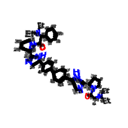 CCN(CC)[C@H](C)C(=O)N1CCC[C@H]1c1ncc(-c2ccc(-c3ccc(-c4cnc([C@@H]5CCCN5C(=O)[C@@H](c5ccccc5)N(CC)CC)[nH]4)cc3)cc2)[nH]1